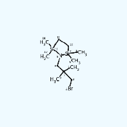 CC(C)(CBr)CN1[Si](C)(C)CC[Si]1(C)C